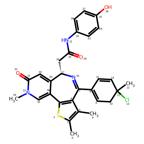 Cc1sc2c(c1C)C(C1=CCC(C)(Cl)C=C1)=N[C@@H](CC(=O)Nc1ccc(O)cc1)c1cc(=O)n(C)cc1-2